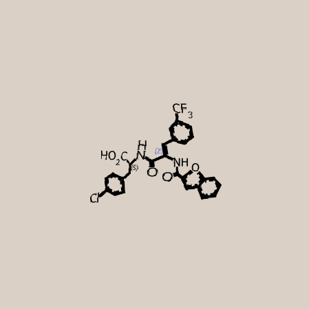 O=C(N[C@@H](Cc1ccc(Cl)cc1)C(=O)O)/C(=C/c1cccc(C(F)(F)F)c1)NC(=O)c1cc2ccccc2o1